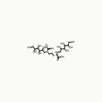 N=C(N)N(CCC[C@H](NCC(O)C(O)C(O)C(O)CO)C(=O)O)CC(O)C(O)C(O)C(O)CO